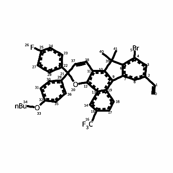 C=Cc1cc(Br)c2c(c1)-c1c(c3c(c4cc(C(F)(F)F)ccc14)OC(c1ccc(F)cc1)(c1ccc(OCCCC)cc1)C=C3)C2(C)C